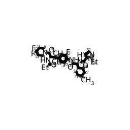 CCC(=O)N[C@@H](C(=O)N1CCC(F)(F)CC1)C(C)(C)c1ccc(NC(=O)[C@@H](NC(=O)c2ccnn2CC)[C@H]2CC[C@H](C)CC2)c(F)c1